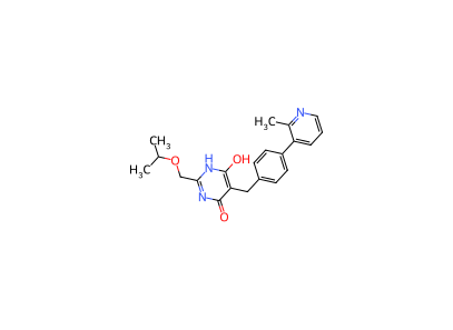 Cc1ncccc1-c1ccc(Cc2c(O)[nH]c(COC(C)C)nc2=O)cc1